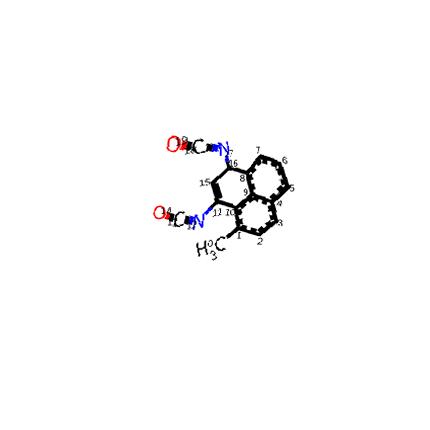 Cc1ccc2cccc3c2c1C(N=C=O)=CC3N=C=O